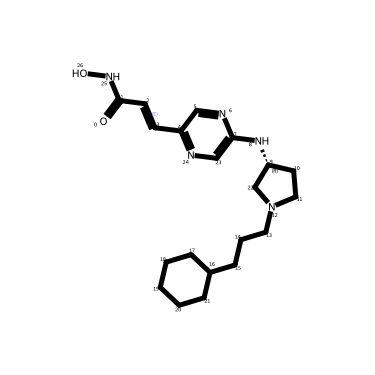 O=C(/C=C/c1cnc(N[C@@H]2CCN(CCCC3CCCCC3)C2)cn1)NO